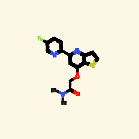 CCN(CC)C(=O)COc1cc(-c2ccc(F)cn2)nc2ccsc12